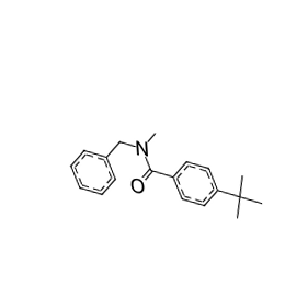 CN(Cc1ccccc1)C(=O)c1ccc(C(C)(C)C)cc1